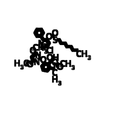 CCCCCCCCSC(=O)Oc1cc(Cl)nnc1-c1ccccc1.CON=C(C)c1cccc(Oc2nc(OC)cc(OC)n2)c1C(=O)O